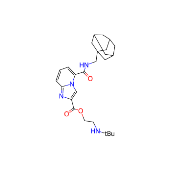 CC(C)(C)NCCOC(=O)c1cn2c(C(=O)NCC34CC5CC(CC(C5)C3)C4)cccc2n1